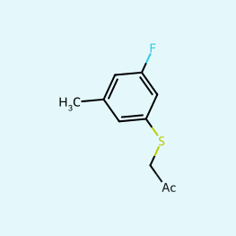 CC(=O)CSc1cc(C)cc(F)c1